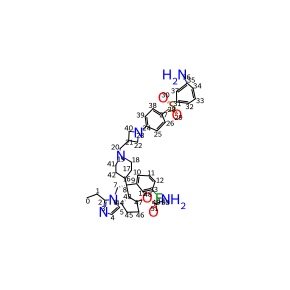 CCc1nccn1C[C@@](c1cccc(F)c1)(C1CCN(CC2CN(c3ccc(S(=O)(=O)c4cccc(N)c4)cc3)C2)CC1)[C@H]1CCC[C@@H]1OC(N)=O